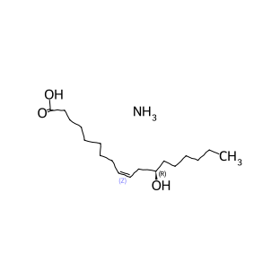 CCCCCC[C@@H](O)C/C=C\CCCCCCCC(=O)O.N